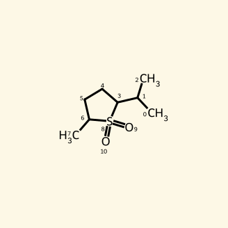 CC(C)C1CCC(C)S1(=O)=O